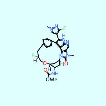 COC(=O)N[C@H]1C[C@H]2C[C@H]1OC[C@@H](F)Cc1ccc(cc1)-c1c(-c3cn(C)nc3F)[nH]c3ncc4c(c13)n2c(=O)n4C